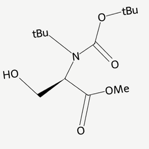 COC(=O)[C@@H](CO)N(C(=O)OC(C)(C)C)C(C)(C)C